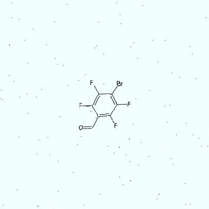 O=Cc1c(F)c(F)c(Br)c(F)c1F